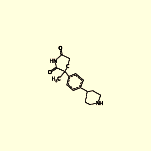 CC1(c2ccc(C3CCNCC3)cc2)CCC(=O)NC1=O